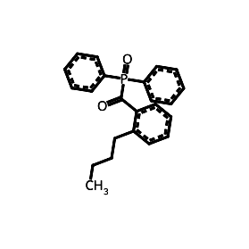 CCCCc1ccccc1C(=O)P(=O)(c1ccccc1)c1ccccc1